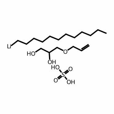 C=CCOCC(O)CO.O=S(=O)(O)O.[Li][CH2]CCCCCCCCCCC